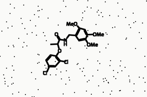 COc1cc(OC)c(OC)cc1CNC(=O)C(C)Oc1ccc(Cl)cc1Cl